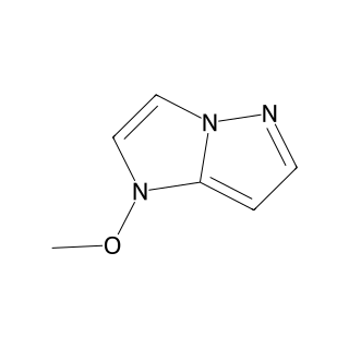 COn1ccn2nccc12